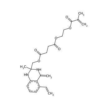 C=Cc1cccc2c1C(=C)NC(C)(COC(=O)CCC(=O)OCCOC(=O)C(=C)C)N2